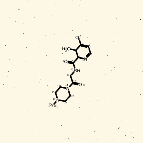 CC1C(Cl)=CC=NC1C(=O)NCC(=O)N1CCN(C(C)C)CC1